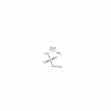 N.O.O=S(=O)(O)OO.[NaH]